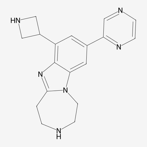 c1cnc(-c2cc(C3CNC3)c3nc4n(c3c2)CCNCC4)cn1